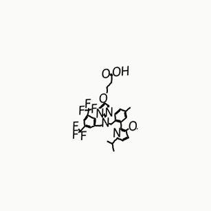 COc1ccc(C(C)C)nc1-c1cc(C)ccc1CN(Cc1cc(C(F)(F)F)cc(C(F)(F)F)c1)c1ncc(OCCCC(=O)O)cn1